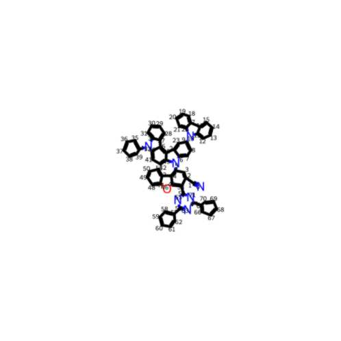 N#Cc1cc(-n2c3ccc(-n4c5ccccc5c5ccccc54)cc3c3c4c5ccccc5n(-c5ccccc5)c4ccc32)c2c(oc3ccccc32)c1-c1nc(-c2ccccc2)nc(-c2ccccc2)n1